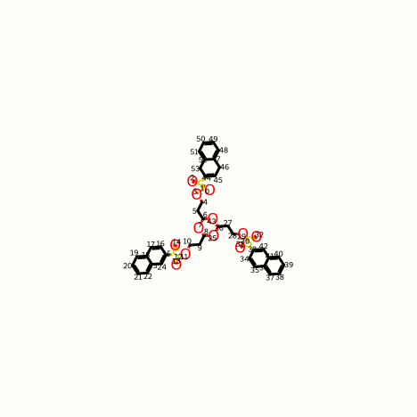 O=S(=O)(OCCC1OC(CCOS(=O)(=O)c2ccc3ccccc3c2)OC(CCOS(=O)(=O)c2ccc3ccccc3c2)O1)C1=CCc2ccccc2C1